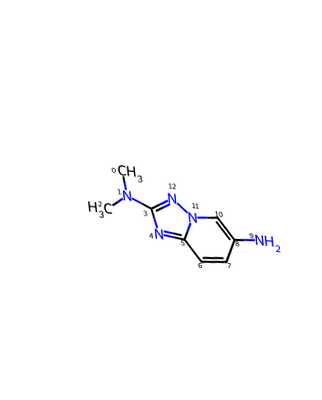 CN(C)c1nc2ccc(N)cn2n1